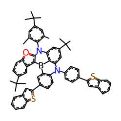 Cc1cc(C(C)(C)C)cc(C)c1N1c2cc(C(C)(C)C)cc3c2B(c2cc(-c4cc5ccccc5s4)ccc2N3c2ccc(-c3cc4ccccc4s3)cc2)c2c1oc1ccc(C(C)(C)C)cc21